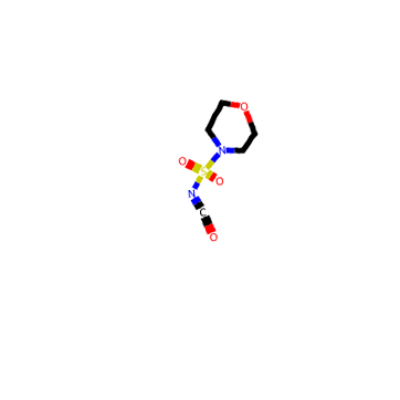 O=C=NS(=O)(=O)N1CCOCC1